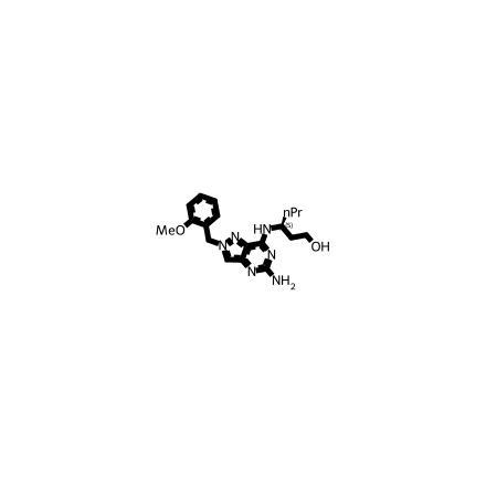 CCC[C@@H](CCO)Nc1nc(N)nc2cn(Cc3ccccc3OC)nc12